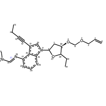 C=CCOCO[C@@H]1CC(n2cc(C#CCC)c3c(/N=C/N(C)C)ncnc32)OC1CC